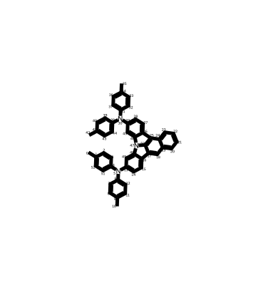 Cc1ccc(N(c2ccc(C)cc2)c2ccc3c4cc5ccccc5c5c6ccc(N(c7ccc(C)cc7)c7ccc(C)cc7)cc6n(c3c2)c45)cc1